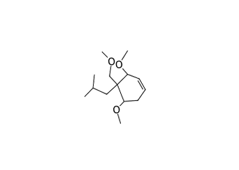 COCC1(CC(C)C)C(OC)C=CCC1OC